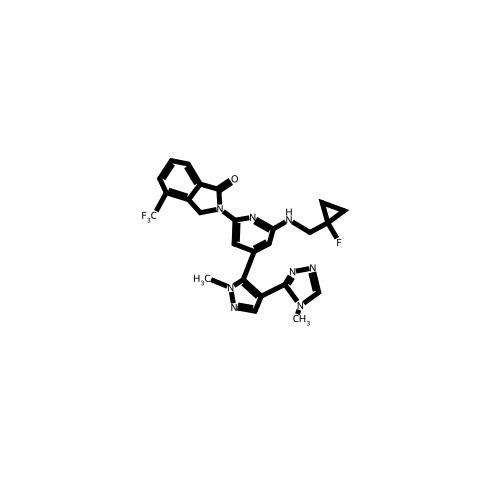 Cn1cnnc1-c1cnn(C)c1-c1cc(NCC2(F)CC2)nc(N2Cc3c(cccc3C(F)(F)F)C2=O)c1